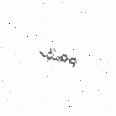 Cc1cc(-c2ccc3nc(CC(OC(N)=O)C(=O)NCC#N)oc3c2)ccn1